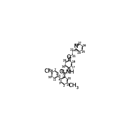 Cc1ccc(-c2ccc(Cl)cc2)c(C(=O)Nc2ccc(OCCc3ccccn3)cc2)c1